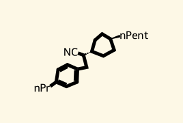 CCCCC[C@H]1CC[C@H](C(C#N)Cc2ccc(CCC)cc2)CC1